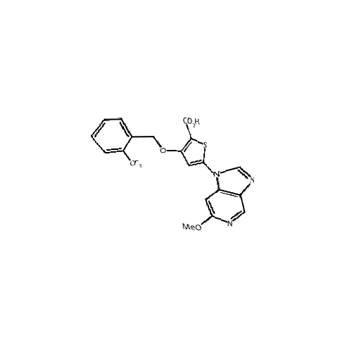 COc1cc2c(cn1)ncn2-c1cc(OCc2ccccc2C(F)(F)F)c(C(=O)O)s1